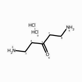 Cl.Cl.NCCC(=O)CCN